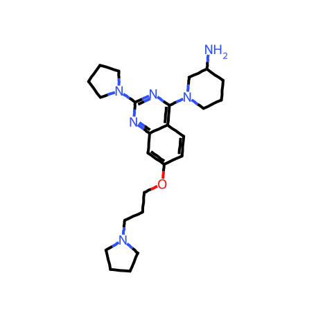 NC1CCCN(c2nc(N3CCCC3)nc3cc(OCCCN4CCCC4)ccc23)C1